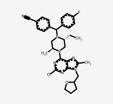 CC[C@@H]1CN(c2nc(Cl)nc3c2nc(C)n3CC2CCCO2)[C@@H](C)CN1C(c1ccc(F)cc1)c1ccc(C#N)cc1